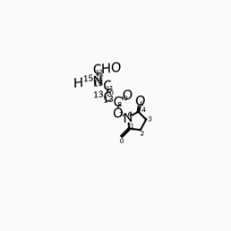 C=C1CCC(=O)N1O[13C](=O)[13CH2][13CH2][15NH][13CH]=O